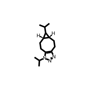 CC(C)C1[C@H]2CCc3c(nnn3C(C)C)CC[C@@H]12